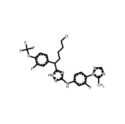 Cc1ncnn1-c1ccc(Nc2n[nH]c(C(CCCCCl)c3ccc(OC(F)(F)F)c(F)c3)n2)cc1F